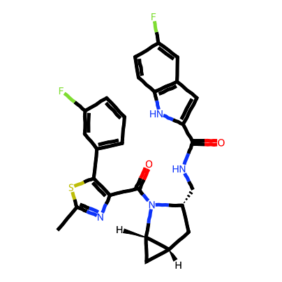 Cc1nc(C(=O)N2[C@H](CNC(=O)c3cc4cc(F)ccc4[nH]3)C[C@@H]3C[C@@H]32)c(-c2cccc(F)c2)s1